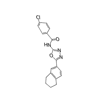 O=C(Nc1nnc(-c2ccc3c(c2)CCCC3)o1)c1ccc(Cl)cc1